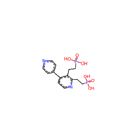 O=P(O)(O)CCc1nccc(-c2ccncc2)c1CCP(=O)(O)O